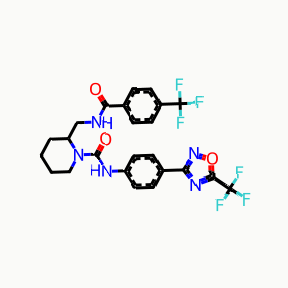 O=C(NCC1CCCCN1C(=O)Nc1ccc(-c2noc(C(F)(F)F)n2)cc1)c1ccc(C(F)(F)F)cc1